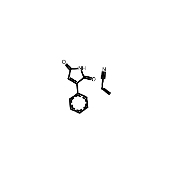 C=CC#N.O=C1C=C(c2ccccc2)C(=O)N1